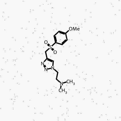 COc1ccc(S(=O)(=O)Cc2cn(CCN(C)C)nn2)cc1